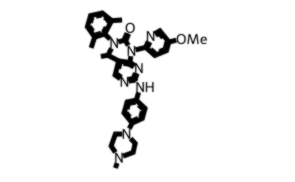 COc1ccc(N2C(=O)N(c3c(C)cccc3C)C(C)c3cnc(Nc4ccc(N5CCN(C)CC5)cc4)nc32)nc1